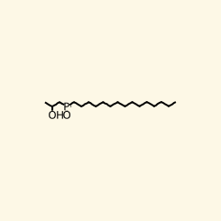 CCCCCCCCCCCCCCC[P](=O)CC(C)O